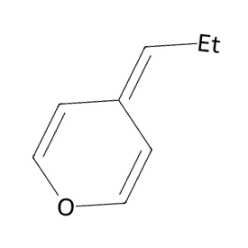 CCC=C1C=COC=C1